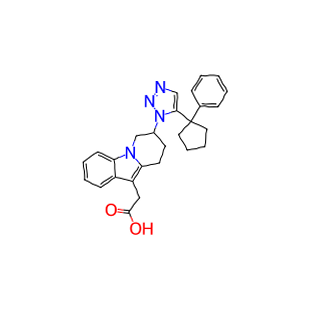 O=C(O)Cc1c2n(c3ccccc13)CC(n1nncc1C1(c3ccccc3)CCCC1)CC2